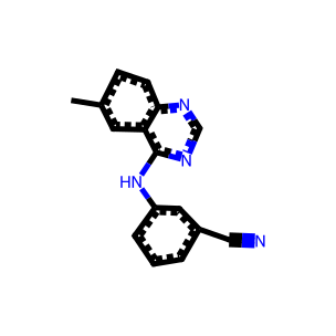 Cc1ccc2ncnc(Nc3cccc(C#N)c3)c2c1